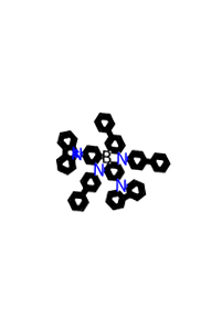 c1ccc(-c2ccc(N3c4ccc(-c5ccccc5)cc4B4c5ccc(-n6c7ccccc7c7ccccc76)cc5N(c5ccc(-c6ccccc6)cc5)c5cc(-n6c7ccccc7c7ccccc76)cc3c54)cc2)cc1